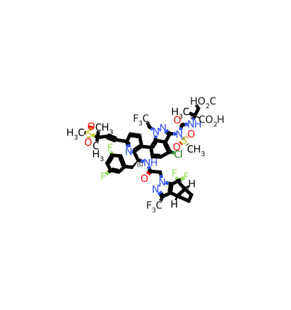 CC(C)(C#Cc1ccc(-c2ccc(Cl)c3c(N(C(=O)N[C@@](C)(CC(=O)O)C(=O)O)S(C)(=O)=O)nn(CC(F)(F)F)c23)c([C@H](Cc2cc(F)cc(F)c2)NC(=O)Cn2nc(C(F)(F)F)c3c2C(F)(F)[C@@H]2CC[C@H]32)n1)S(C)(=O)=O